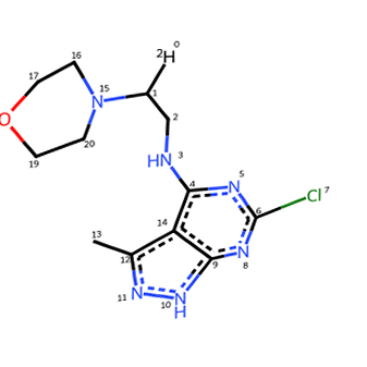 [2H]C(CNc1nc(Cl)nc2[nH]nc(C)c12)N1CCOCC1